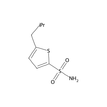 CC(C)Cc1ccc(S(N)(=O)=O)s1